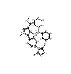 COC(=O)c1nn(C)c2c3ncc(-c4c(C)noc4C)cc3n([C@H](c3ccccc3)C3CCOCC3)c12